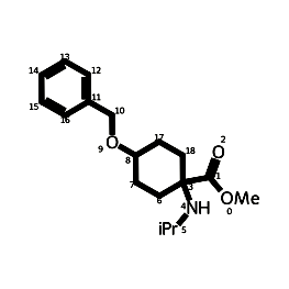 COC(=O)C1(NC(C)C)CCC(OCc2ccccc2)CC1